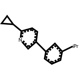 CC(C)c1cccc(-c2ccc(C3CC3)nc2)c1